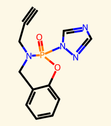 C#CCN1Cc2ccccc2OP1(=O)n1cncn1